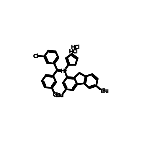 CC(C)(C)c1ccc2c(c1)-c1cc(C(C)(C)C)c[c]([Hf]([C]3=CC=CC3)=[C](c3cccc(Cl)c3)c3cccc(Cl)c3)c1C2.Cl.Cl